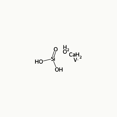 O.O=[Si](O)O.[CaH2].[V]